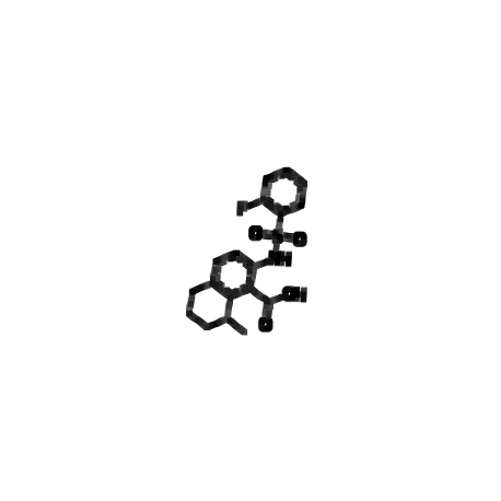 CC1CCCc2ccc(NS(=O)(=O)c3ccccc3F)c(C(=O)O)c21